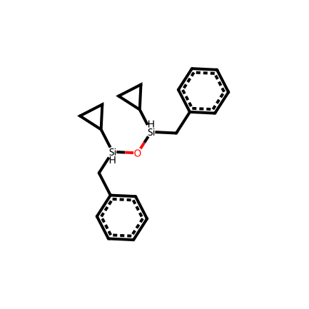 c1ccc(C[SiH](O[SiH](Cc2ccccc2)C2CC2)C2CC2)cc1